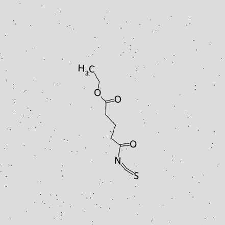 CCOC(=O)CCCC(=O)N=C=S